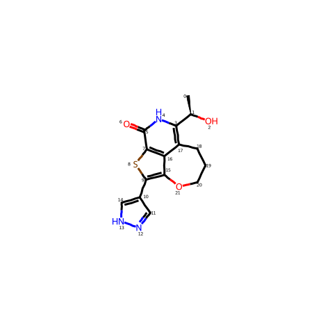 C[C@@H](O)c1[nH]c(=O)c2sc(-c3cn[nH]c3)c3c2c1CCCO3